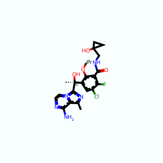 Cc1nc([C@@](C)(O)c2cc(Cl)c(F)c(C(=O)NCC3(O)CC3)c2OC(C)C)n2ccnc(N)c12